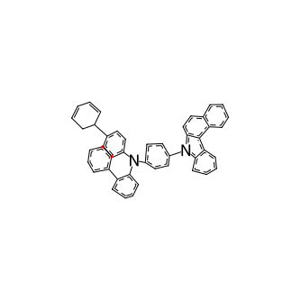 C1=CCC(c2ccc(N(c3ccc(-n4c5ccccc5c5c6ccccc6ccc54)cc3)c3ccccc3-c3ccccc3)cc2)C=C1